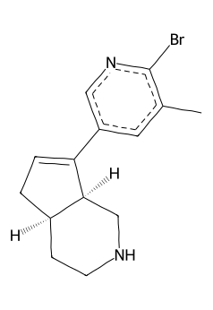 Cc1cc(C2=CC[C@@H]3CCNC[C@H]23)cnc1Br